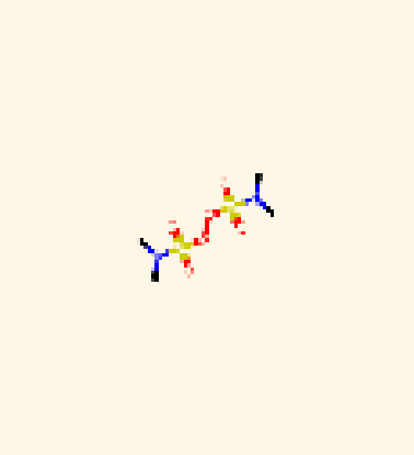 CN(C)S(=O)(=O)OOS(=O)(=O)N(C)C